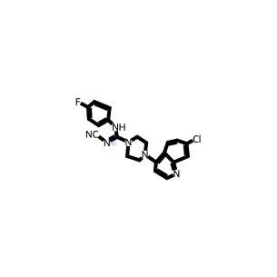 N#C/N=C(\Nc1ccc(F)cc1)N1CCN(c2ccnc3cc(Cl)ccc23)CC1